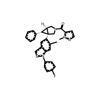 Cc1cc2c(cnn2-c2ccc(F)cc2)cc1[C@@]12CN(C(=O)c3ccnn3C)C[C@@H]1[C@H]2c1ccccc1